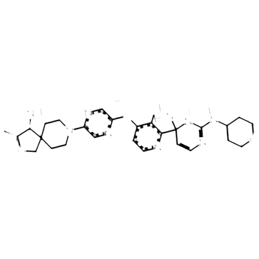 C[C@@H]1OCC2(CCN(c3cnc(Sc4ccnc(C5(N)C=CN=C(NC6CCOCC6)N5)c4Cl)cn3)CC2)[C@@H]1N.Cl